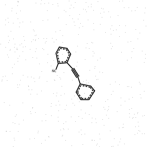 N#Cc1ccccc1C#Cc1ccccc1